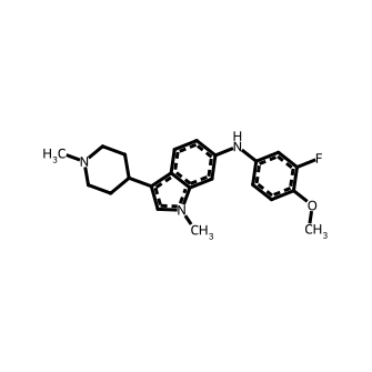 COc1ccc(Nc2ccc3c(C4CCN(C)CC4)cn(C)c3c2)cc1F